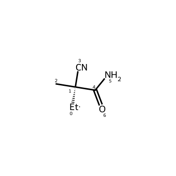 C[CH][C@](C)(C#N)C(N)=O